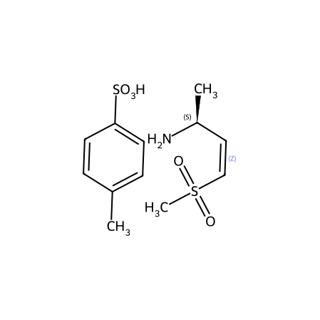 C[C@H](N)/C=C\S(C)(=O)=O.Cc1ccc(S(=O)(=O)O)cc1